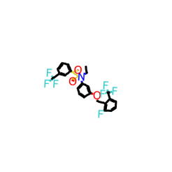 CCN(c1cccc(OCc2c(F)cccc2C(F)(F)F)c1)S(=O)(=O)c1cccc(C(F)(F)F)c1